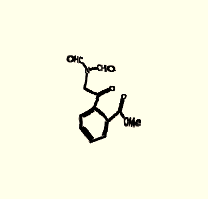 COC(=O)c1ccccc1C(=O)CN(C=O)C=O